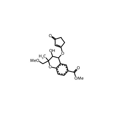 COCC1(C)Oc2ccc(C(=O)OC)cc2C(OC2=CC(=O)CC2)C1O